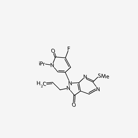 C=CCn1c(=O)c2cnc(SC)nc2n1-c1cc(F)c(=O)n(C(C)C)c1